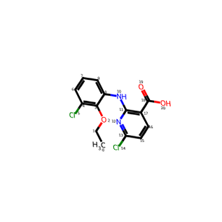 CCOc1c(Cl)cccc1Nc1nc(Cl)ccc1C(=O)O